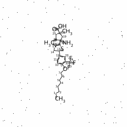 CCCCCCCCOc1ccc(C2CN=C([C@]3(N)CC(C)(C(=O)O)C[C@H]3C)S2)cc1C(F)(F)F